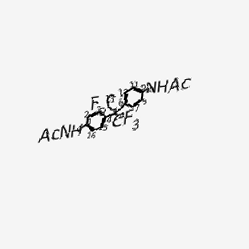 CC(=O)Nc1ccc(C(c2ccc(NC(C)=O)cc2)(C(F)(F)F)C(F)(F)F)cc1